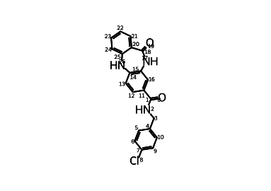 O=C(NCc1ccc(Cl)cc1)c1ccc2c(c1)NC(=O)c1ccccc1N2